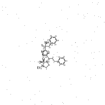 CCN1CCN(C(CCc2ccccc2)c2nnc([C@](C)(N)Cc3ccccc3)o2)S1(=O)=O